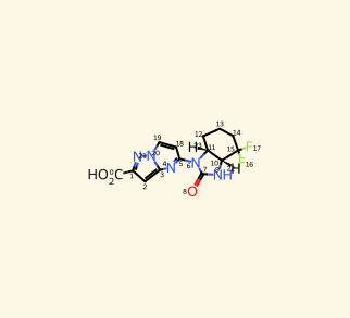 O=C(O)c1cc2nc(N3C(=O)N[C@@H]4[C@H]3CCCC4(F)F)ccn2n1